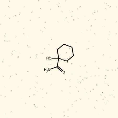 NC(=O)C1(O)CCCC[N]1